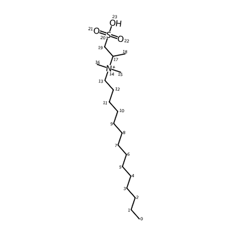 CCCCCCCCCCCCCC[N+](C)(C)C(C)CS(=O)(=O)O